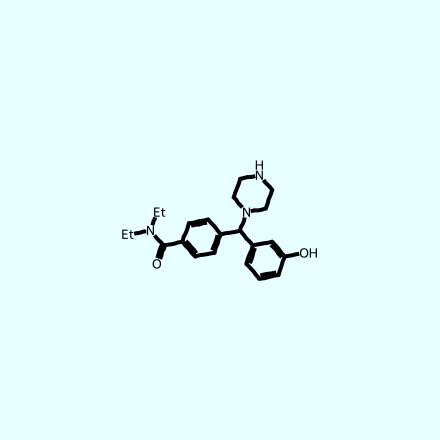 CCN(CC)C(=O)c1ccc(C(c2cccc(O)c2)N2CCNCC2)cc1